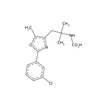 Cc1oc(-c2cccc(Cl)c2)nc1CC(C)(C)NC(=O)O